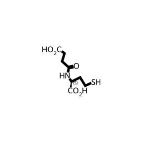 O=C(O)CCC(=O)N[C@@H](CCS)C(=O)O